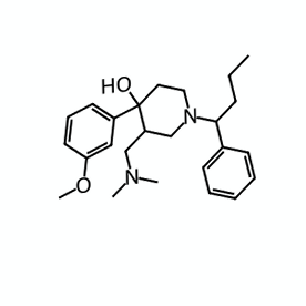 CCCC(c1ccccc1)N1CCC(O)(c2cccc(OC)c2)C(CN(C)C)C1